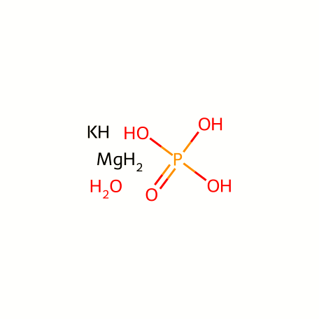 O.O=P(O)(O)O.[KH].[MgH2]